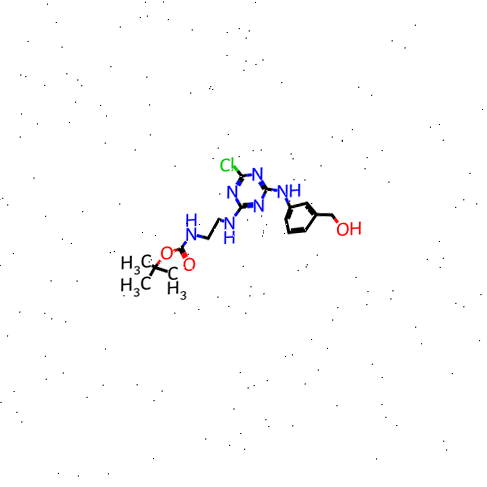 CC(C)(C)OC(=O)NCCNc1nc(Cl)nc(Nc2cccc(CO)c2)n1